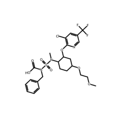 COCCOC1CCC(N(C)S(=O)(=O)N(Cc2ccccc2)C(=O)O)C(Oc2ncc(C(F)(F)F)cc2Cl)C1